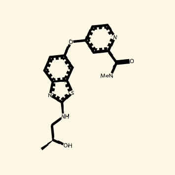 CNC(=O)c1cc(Oc2ccc3nc(NC[C@H](C)O)sc3c2)ccn1